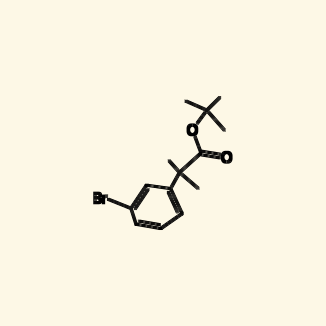 CC(C)(C)OC(=O)C(C)(C)c1cccc(Br)c1